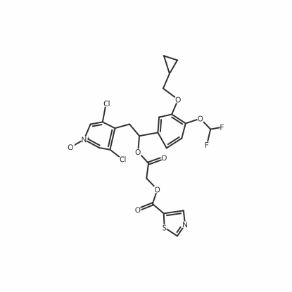 O=C(COC(=O)c1cncs1)OC(Cc1c(Cl)c[n+]([O-])cc1Cl)c1ccc(OC(F)F)c(OCC2CC2)c1